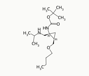 CCCCOC[C@@H]1C[C@@]1(CNC(C)C)NC(=O)OC(C)(C)C